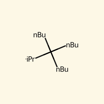 CCCCC(CCCC)(CCCC)[C](C)C